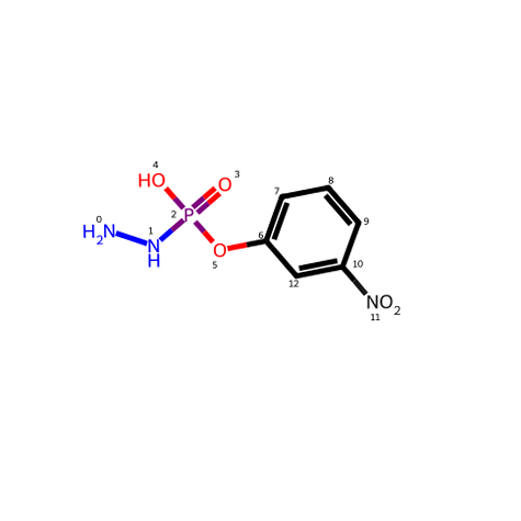 NNP(=O)(O)Oc1cccc([N+](=O)[O-])c1